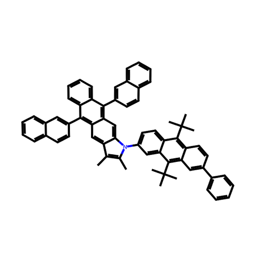 Cc1c(C)n(-c2ccc3c(C(C)(C)C)c4ccc(-c5ccccc5)cc4c(C(C)(C)C)c3c2)c2cc3c(-c4ccc5ccccc5c4)c4ccccc4c(-c4ccc5ccccc5c4)c3cc12